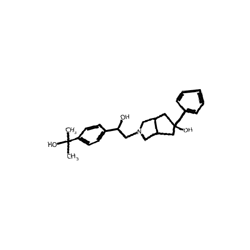 CC(C)(O)c1ccc(C(O)CN2CC3CC(O)(c4ccccc4)CC3C2)cc1